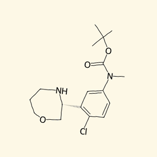 CN(C(=O)OC(C)(C)C)c1ccc(Cl)c([C@@H]2COCCCN2)c1